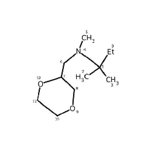 CCC(C)(C)N(C)CC1COCCO1